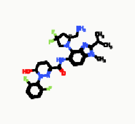 CC(C)c1nc2c(N3CC(F)(F)C[C@H]3CN)c(NC(=O)C3=NN(c4c(F)cccc4F)C(O)C=C3)ccc2n1C